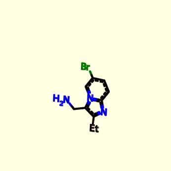 CCc1nc2ccc(Br)cn2c1CN